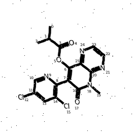 CC(C)C(=O)Oc1c(-c2ncc(Cl)cc2Cl)c(=O)n(C)c2nccnc12